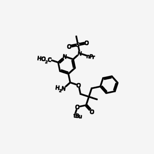 CCCN(c1cc(C(N)OCC(C)(Cc2ccccc2)C(=O)OC(C)(C)C)cc(C(=O)O)n1)S(C)(=O)=O